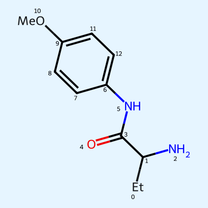 CCC(N)C(=O)Nc1ccc(OC)cc1